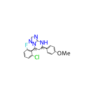 COc1ccc([C@H]2C[C@@H](c3c(F)cccc3Cl)n3ncnc3N2)cc1